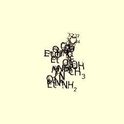 CCOc1nc(N)nc2c1ncn2C1O[C@](F)(COP(=O)(NC(C)C(=O)OC(CC)CC)Oc2ccccc2)[C@@H](O)[C@@]1(C)F